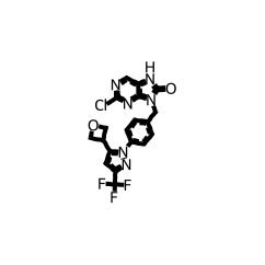 O=c1[nH]c2cnc(Cl)nc2n1Cc1ccc(-n2nc(C(F)(F)F)cc2C2COC2)cc1